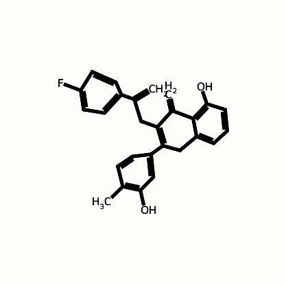 C=C(CC1=C(c2ccc(C)c(O)c2)Cc2cccc(O)c2C1=C)c1ccc(F)cc1